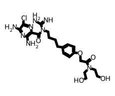 N=C(N)N(CCCCc1ccc(OCC(=O)N(CCO)CCO)cc1)C(=O)c1nc(Cl)c(N)nc1N